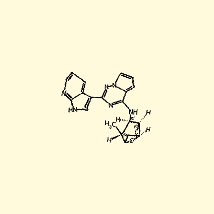 C[C@@H]1[C@@H](Nc2nc(-c3c[nH]c4ncccc34)nn3cccc23)[C@@H]2CC[C@]13C[C@H]2C3